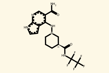 NC(=O)c1cnc2[nH]ccc2c1NN1CCC[C@H](C(=O)NC(F)(F)C(F)(F)F)C1